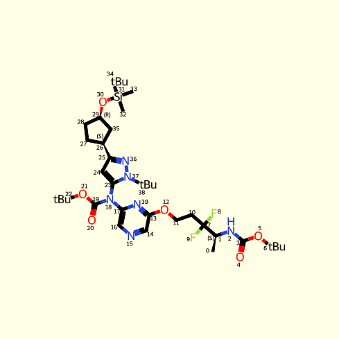 C[C@H](NC(=O)OC(C)(C)C)C(F)(F)CCOc1cncc(N(C(=O)OC(C)(C)C)c2cc([C@H]3CC[C@@H](O[Si](C)(C)C(C)(C)C)C3)nn2C(C)(C)C)n1